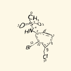 CS(=O)(=O)Nc1cccc(Cl)c1Br